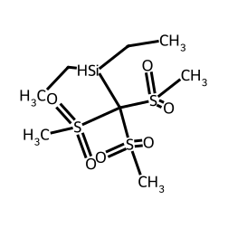 CC[SiH](CC)C(S(C)(=O)=O)(S(C)(=O)=O)S(C)(=O)=O